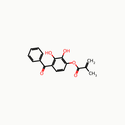 C=C(C)C(=O)Oc1ccc(C(=O)c2ccccc2)c(O)c1O